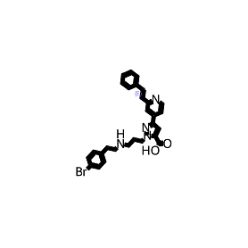 O=C(O)c1cc(-c2ccnc(/C=C/c3ccccc3)c2)nn1CCCNCCc1ccc(Br)cc1